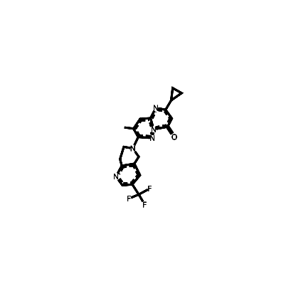 Cc1cc2nc(C3CC3)cc(=O)n2nc1N1CCc2ncc(C(F)(F)F)cc2C1